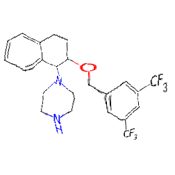 FC(F)(F)c1cc(COC2CCc3ccccc3C2N2CCNCC2)cc(C(F)(F)F)c1